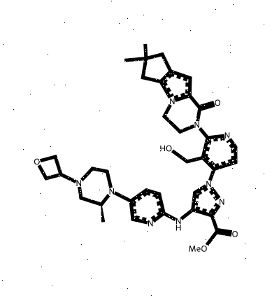 COC(=O)c1nn(-c2ccnc(N3CCn4c(cc5c4CC(C)(C)C5)C3=O)c2CO)cc1Nc1ccc(N2CCN(C3COC3)C[C@@H]2C)cn1